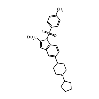 CCOC(=O)c1cc2cc(C3CCN(C4CCCC4)CC3)ccc2n1S(=O)(=O)c1ccc(C)cc1